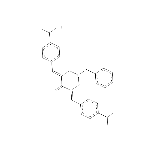 CC(C)c1ccc(C=C2CN(Cc3ccccc3)CC(=Cc3ccc(C(C)C)cc3)C2=O)cc1